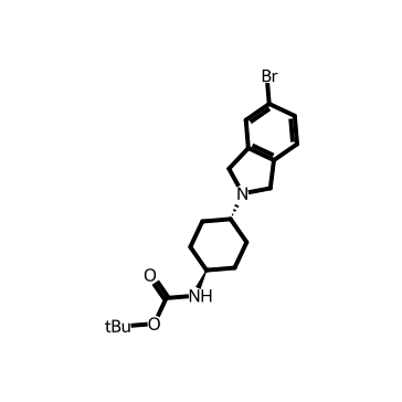 CC(C)(C)OC(=O)N[C@H]1CC[C@H](N2Cc3ccc(Br)cc3C2)CC1